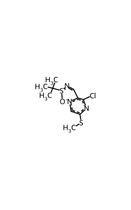 CSc1cnc(/C=N\[S+]([O-])C(C)(C)C)c(Cl)n1